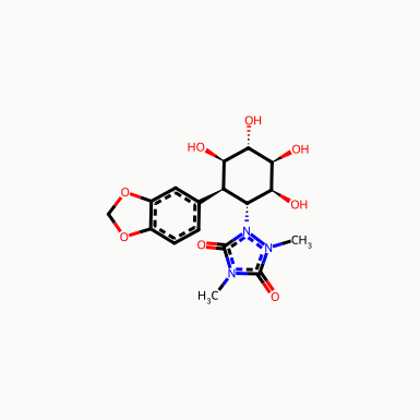 Cn1c(=O)n(C)n([C@H]2[C@H](O)[C@H](O)[C@@H](O)[C@H](O)[C@@H]2c2ccc3c(c2)OCO3)c1=O